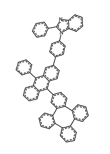 c1ccc(-c2c3ccccc3c(-c3ccc4c(c3)-c3ccccc3-c3ccccc3-c3ccccc3-4)c3ccc(-c4ccc(-n5c(-c6ccccc6)nc6ccccc65)cc4)cc23)cc1